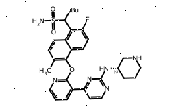 CCC(C)C(c1c(F)ccc2c(Oc3ncccc3-c3ccnc(N[C@H]4CCCNC4)n3)c(C)ccc12)S(N)(=O)=O